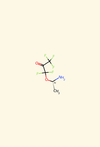 C[C@@H](N)OC(F)(F)C(=O)C(F)(F)F